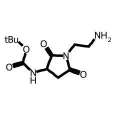 CC(C)(C)OC(=O)NC1CC(=O)N(CCN)C1=O